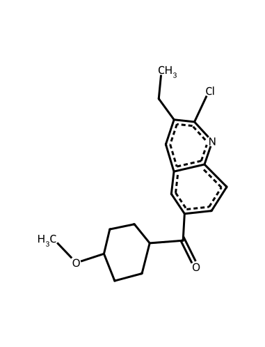 CCc1cc2cc(C(=O)C3CCC(OC)CC3)ccc2nc1Cl